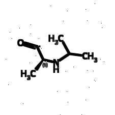 CC(C)N[C@@H](C)[C]=O